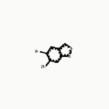 CC(C)c1cc2cnsc2cc1C(C)C